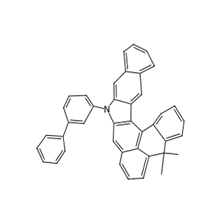 CC1(C)c2ccccc2-c2c3c1cccc3cc1c2c2cc3ccccc3cc2n1-c1cccc(-c2ccccc2)c1